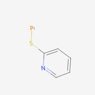 [P]Sc1ccccn1